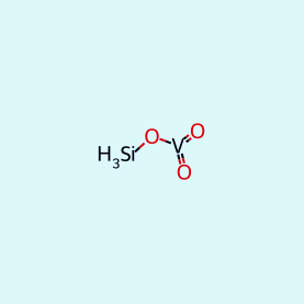 [O]=[V](=[O])[O][SiH3]